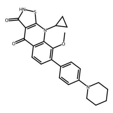 COc1c(-c2ccc(N3CCCCC3)cc2)ccc2c(=O)c3c(=O)[nH]sc3n(C3CC3)c12